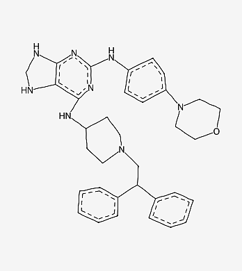 c1ccc(C(CN2CCC(Nc3nc(Nc4ccc(N5CCOCC5)cc4)nc4c3NCN4)CC2)c2ccccc2)cc1